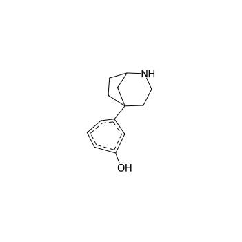 Oc1cccc(C23CCNC(CC2)C3)c1